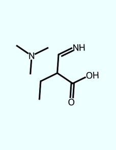 CCC(C=N)C(=O)O.CN(C)C